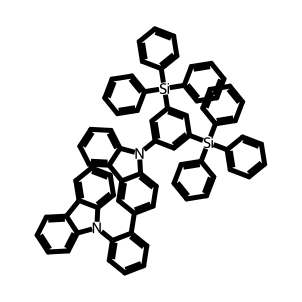 c1ccc([Si](c2ccccc2)(c2ccccc2)c2cc(-n3c4ccccc4c4cc(-c5ccccc5-n5c6ccccc6c6ccccc65)ccc43)cc([Si](c3ccccc3)(c3ccccc3)c3ccccc3)c2)cc1